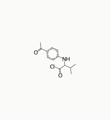 CC(=O)c1ccc(NC(C(=O)Cl)C(C)C)cc1